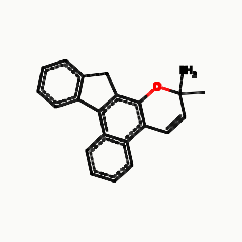 BC1(C)C=Cc2c(c3c(c4ccccc24)-c2ccccc2C3)O1